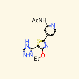 CCOc1nc(-c2ccnc(NC(C)=O)c2)sc1-c1nnc[nH]1